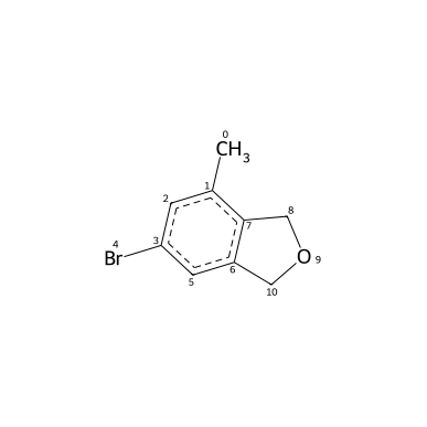 Cc1cc(Br)cc2c1COC2